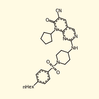 CCCCCCc1ccc(S(=O)(=O)N2CCC(Nc3ncc4cc(C#N)c(=O)n(C5CCCC5)c4n3)CC2)cc1